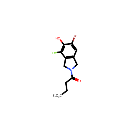 CCOC(=O)CCC(=O)N1Cc2cc(Br)c(O)c(F)c2C1